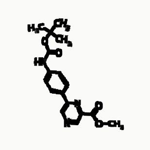 COC(=O)c1cncc(-c2ccc(NC(=O)OC(C)(C)C)cc2)n1